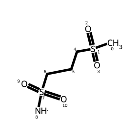 CS(=O)(=O)CCCS([NH])(=O)=O